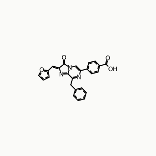 O=C(O)c1ccc(C2=CN3C(=O)/C(=C/c4ccco4)N=C3C(Cc3ccccc3)=N2)cc1